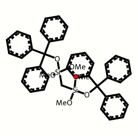 CO[Si](C[Si](OC)(OC)OC(c1ccccc1)(c1ccccc1)c1ccccc1)(OC)OC(c1ccccc1)(c1ccccc1)c1ccccc1